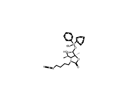 CC[C@@H](O[Si](c1ccccc1)(c1ccccc1)C(C)(C)C)[C@@]1(C)OC(=O)N(CCCCN=[N+]=[N-])[C@@H]1[C@@H](C)O